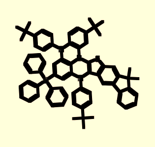 CC(C)(C)c1ccc(N2c3ccc(C(C)(C)C)cc3B3c4sc5cc6c(cc5c4N(c4ccc(C(C)(C)C)cc4)c4cc([Si](c5ccccc5)(c5ccccc5)c5ccccc5)cc2c43)-c2ccccc2C6(C)C)cc1